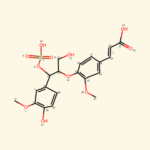 COc1cc(C(OS(=O)(=O)O)C(CO)Oc2ccc(/C=C/C(=O)O)cc2OC)ccc1O